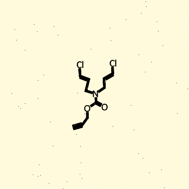 C#CCOC(=O)N(CC=CCl)CC=CCl